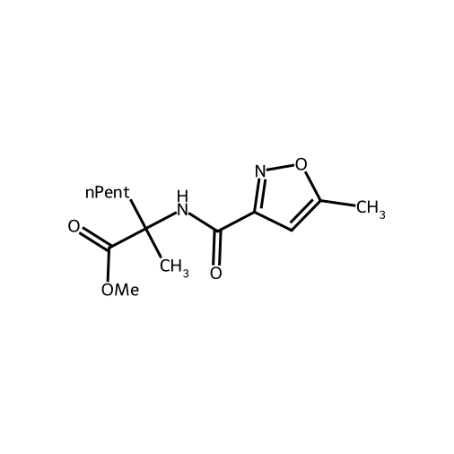 CCCCCC(C)(NC(=O)c1cc(C)on1)C(=O)OC